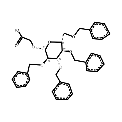 O=C(O)CO[C@@H]1O[C@H](COCc2ccccc2)[C@@H](OCc2ccccc2)[C@H](OCc2ccccc2)[C@H]1OCc1ccccc1